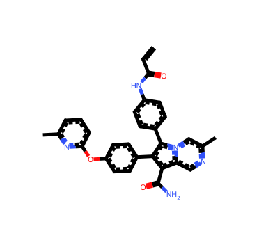 C=CC(=O)Nc1ccc(-c2c(-c3ccc(Oc4cccc(C)n4)cc3)c(C(N)=O)c3cnc(C)cn23)cc1